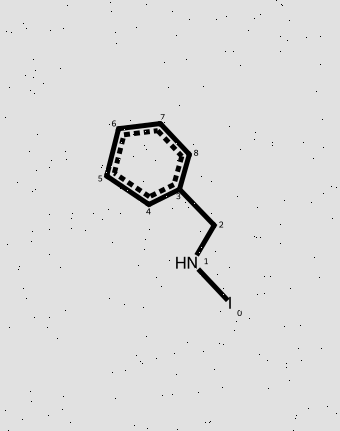 INCc1ccccc1